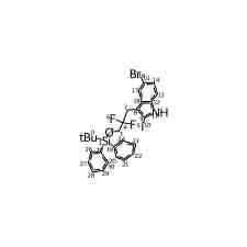 CC(C)(C)[Si](OCC(F)(F)Cc1c(I)[nH]c2ccc(Br)cc12)(c1ccccc1)c1ccccc1